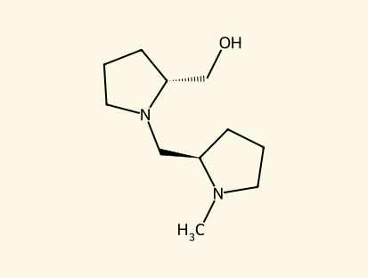 CN1CCC[C@@H]1CN1CCC[C@@H]1CO